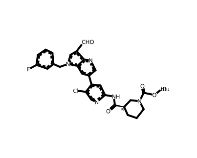 CC(C)(C)OC(=O)N1CCC[C@@H](C(=O)Nc2cc(-c3cnc4c(C=O)cn(Cc5cccc(F)c5)c4c3)c(Cl)cn2)C1